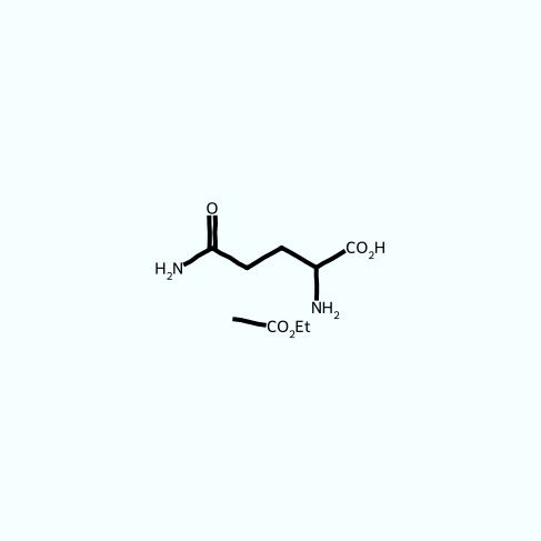 CCOC(C)=O.NC(=O)CCC(N)C(=O)O